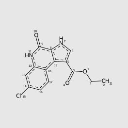 CCOC(=O)c1c[nH]c2c(=O)[nH]c3cc(Cl)ccc3c12